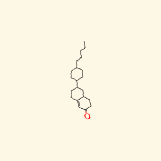 CCCCCC1CCC(C2CCC3=CC(=O)CCC3C2)CC1